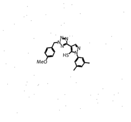 COc1ccc(Cn2nnc(-c3cnn(-c4cc(C)cc(C)c4)c3S)n2)cc1